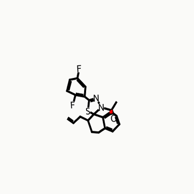 C=CCC1CCc2ccccc2C12SC(c1cc(F)ccc1F)=NN2C(C)=O